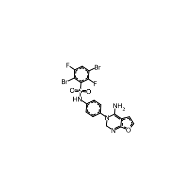 NC1=c2ccoc2=NCN1c1ccc(NS(=O)(=O)c2c(F)c(Br)cc(F)c2Br)cc1